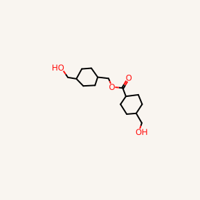 O=C(OCC1CCC(CO)CC1)C1CCC(CO)CC1